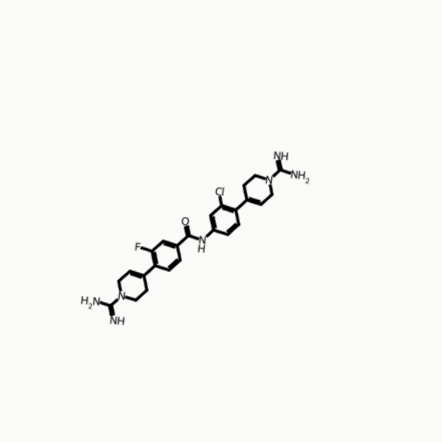 N=C(N)N1CC=C(c2ccc(C(=O)Nc3ccc(C4=CCN(C(=N)N)CC4)c(Cl)c3)cc2F)CC1